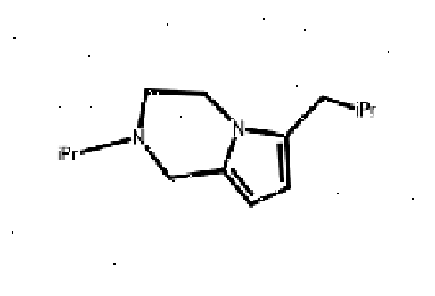 CC(C)Cc1ccc2n1CCN(C(C)C)C2